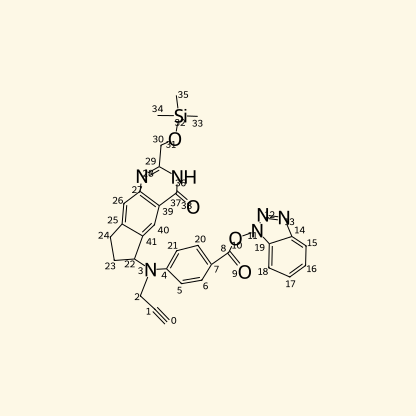 C#CCN(c1ccc(C(=O)On2nnc3ccccc32)cc1)C1CCc2cc3nc(CO[Si](C)(C)C)[nH]c(=O)c3cc21